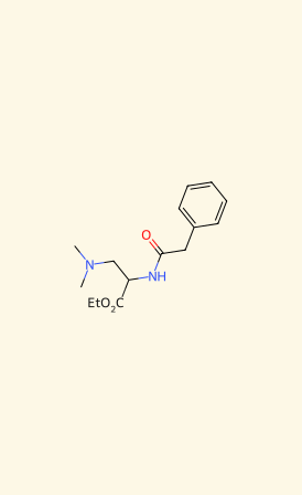 CCOC(=O)C(CN(C)C)NC(=O)Cc1ccccc1